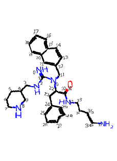 N=C(NCC1CCCNC1)N(Cc1ccc2ccccc2c1)C(Cc1ccccc1)C(=O)NCCCCN